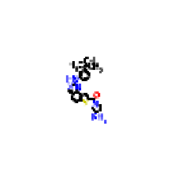 CC(C)(C)c1cccc(Nc2ncc3ccc4sc(C(=O)N5CCC(N)C5)cc4c3n2)c1